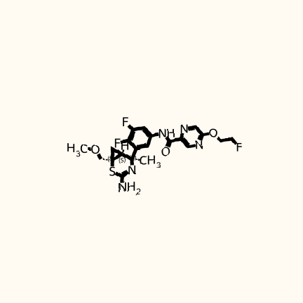 COC[C@]12C[C@H]1[C@@](C)(c1cc(NC(=O)c3cnc(OCCF)cn3)cc(F)c1F)N=C(N)S2